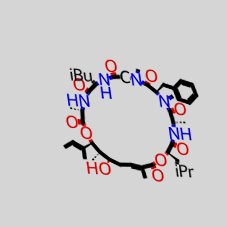 C/C=C(\C)[C@H]1OC(=O)[C@H](C)NC(=O)C(C(C)CC)NC(=O)CN(C)C(=O)[C@@H](Cc2ccccc2)N(C)C(=O)[C@H](C)NC(=O)[C@@H](CC(C)C)OC(=O)/C(C)=C/C[C@H](O)[C@@H]1C